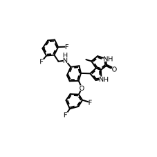 Cc1c[nH]c(=O)c2[nH]cc(-c3cc(NCc4c(F)cccc4F)ccc3Oc3ccc(F)cc3F)c12